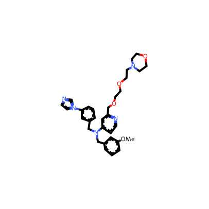 COc1cccc(CN(Cc2cccc(-n3ccnc3)c2)c2ccnc(COCCOCCN3CCOCC3)c2)c1